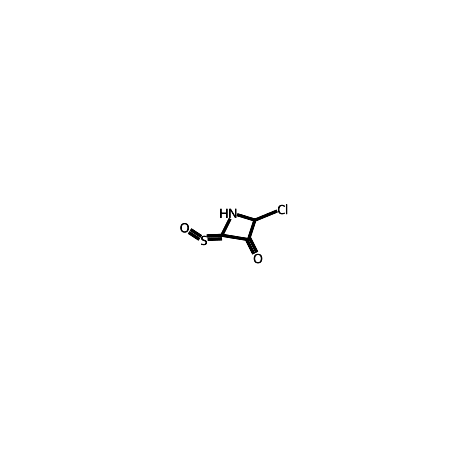 O=S=C1NC(Cl)C1=O